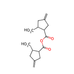 C=C1CC(C(=O)O)C(C(=O)OC(=O)C2CC(=C)CC2C(=O)O)C1